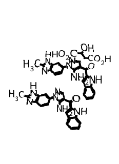 Cc1nc2ccc(-n3ncc(C(=O)c4cc5ccccc5[nH]4)c3N)cc2[nH]1.Cc1nc2ccc(-n3ncc(C(=O)c4cc5ccccc5[nH]4)c3N)cc2[nH]1.O=C(O)CC(O)C(=O)O